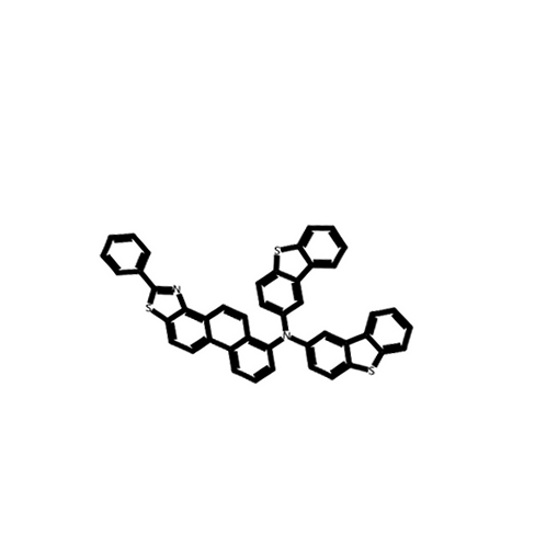 c1ccc(-c2nc3c(ccc4c5cccc(N(c6ccc7sc8ccccc8c7c6)c6ccc7sc8ccccc8c7c6)c5ccc43)s2)cc1